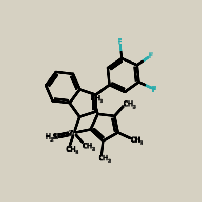 CC1=C(C)C(C)[C]([Zr]([CH3])([CH3])(=[SiH2])[CH]2C=C(c3cc(F)c(F)c(F)c3)c3ccccc32)=C1C